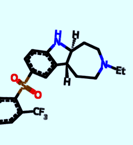 CCN1CC[C@@H]2Nc3ccc(S(=O)(=O)c4ccccc4C(F)(F)F)cc3[C@H]2CC1